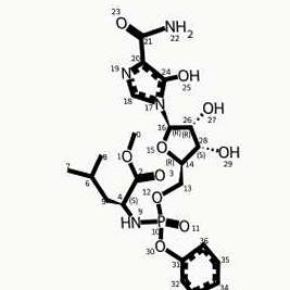 COC(=O)[C@H](CC(C)C)NP(=O)(OC[C@H]1O[C@@H](n2cnc(C(N)=O)c2O)[C@H](O)[C@@H]1O)Oc1ccccc1